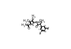 CCC(C(=O)Nc1sc(C(N)=O)c(C)c1C)c1cc(F)cc(F)c1